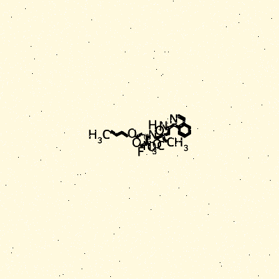 CCCCCOC(=O)C[C@H](NC(=O)C1(C(C)C)CC(c2nccc3c2C=CCC3)=NO1)C(=O)CF